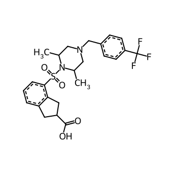 CC1CN(Cc2ccc(C(F)(F)F)cc2)CC(C)N1S(=O)(=O)c1cccc2c1CC(C(=O)O)C2